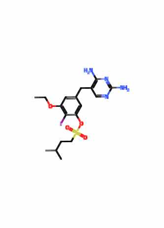 CCOc1cc(Cc2cnc(N)nc2N)cc(OS(=O)(=O)CCC(C)C)c1I